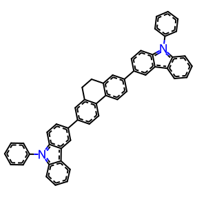 c1ccc(-n2c3ccccc3c3cc(-c4ccc5c(c4)CCc4cc(-c6ccc7c(c6)c6ccccc6n7-c6ccccc6)ccc4-5)ccc32)cc1